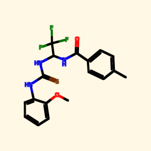 COc1ccccc1NC(=S)NC(NC(=O)c1ccc(C)cc1)C(F)(F)F